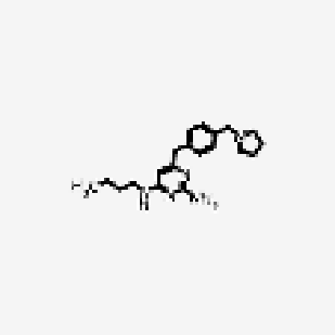 CCCCNc1cc(Cc2ccc(CN3CCCC3)cc2)nc(N)n1